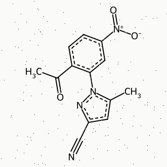 CC(=O)c1ccc([N+](=O)[O-])cc1-n1nc(C#N)cc1C